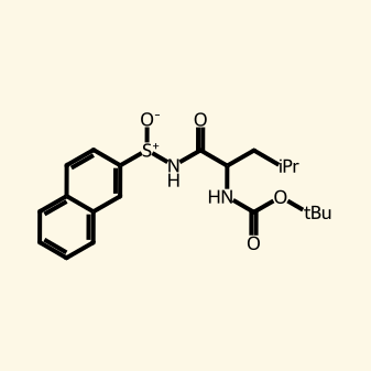 CC(C)CC(NC(=O)OC(C)(C)C)C(=O)N[S+]([O-])c1ccc2ccccc2c1